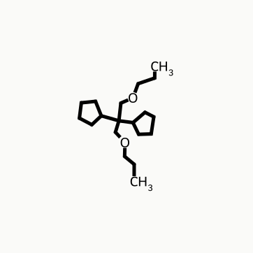 CCCOCC(COCCC)(C1CCCC1)C1CCCC1